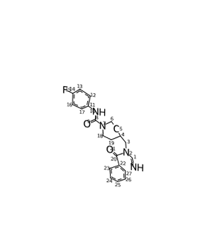 N=CN(CC1CCN(C(=O)Nc2ccc(F)cc2)CC1)C(=O)c1ccccc1